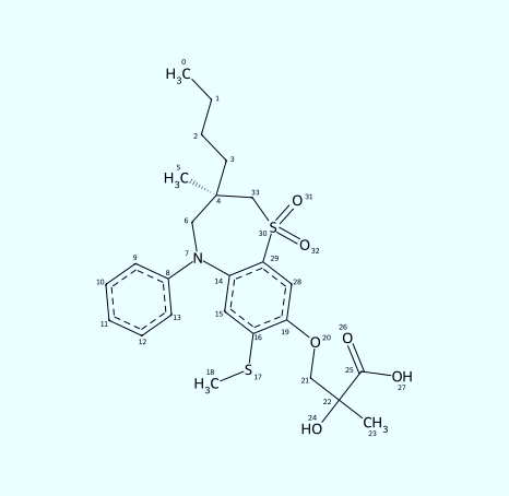 CCCC[C@]1(C)CN(c2ccccc2)c2cc(SC)c(OCC(C)(O)C(=O)O)cc2S(=O)(=O)C1